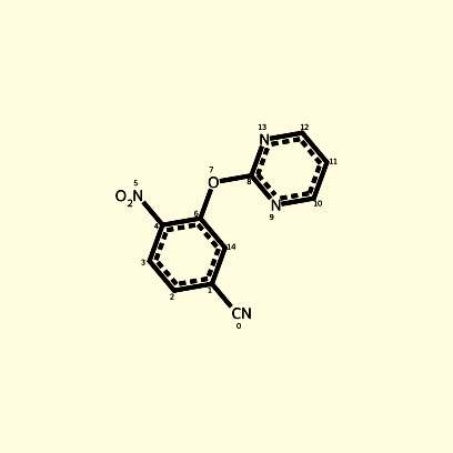 N#Cc1ccc([N+](=O)[O-])c(Oc2ncccn2)c1